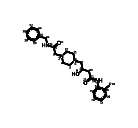 O=C(CN1CCN(CC(O)CC(=O)Nc2ccccc2F)CC1)NCc1ccccc1